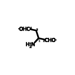 NC([C]=O)C[C]=O